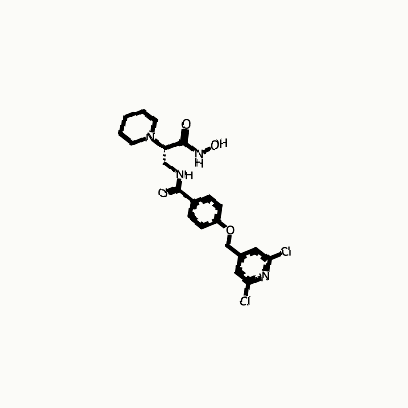 O=C(NC[C@@H](C(=O)NO)N1CCCCC1)c1ccc(OCc2cc(Cl)nc(Cl)c2)cc1